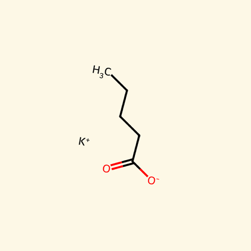 CCCCC(=O)[O-].[K+]